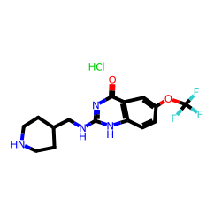 Cl.O=c1nc(NCC2CCNCC2)[nH]c2ccc(OC(F)(F)F)cc12